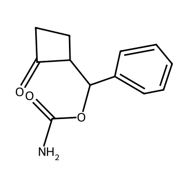 NC(=O)OC(c1ccccc1)C1CCC1=O